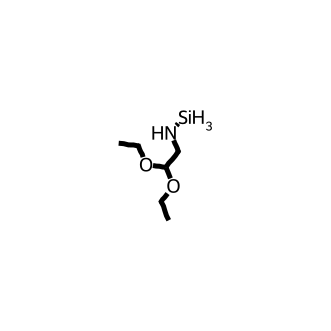 CCOC(CN[SiH3])OCC